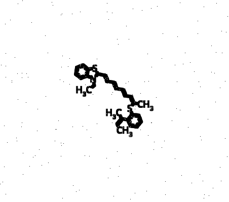 C/C=C(/C)c1ccccc1S\C(C)=C/C=C/C=C/C=C/C1Sc2ccccc2N1CC